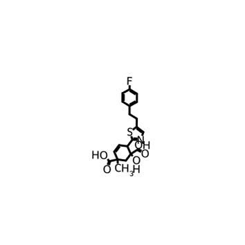 CC1(C(=O)O)C=CC(c2ncc(CCc3ccc(F)cc3)s2)C(O)(C(=O)O)C1